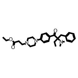 CCOC(=O)CCN1CCN(c2ccc(C(=O)C(CC)(Cc3ccccc3)N(C)C)cc2)CC1